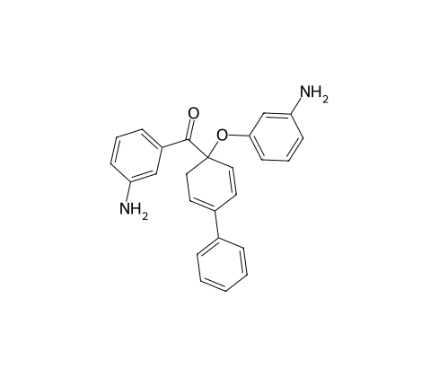 Nc1cccc(OC2(C(=O)c3cccc(N)c3)C=CC(c3ccccc3)=CC2)c1